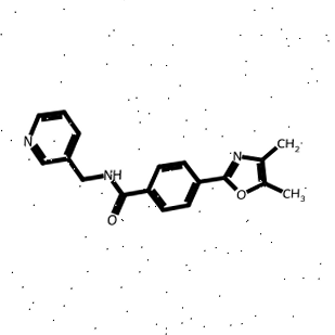 [CH2]c1nc(-c2ccc(C(=O)NCc3cccnc3)cc2)oc1C